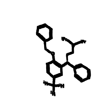 [2H]C([2H])([2H])c1ccc(OCc2ccccc2)c([C@H](CCN(C(C)C)C(C)C)c2ccccc2)c1